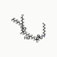 CCCCCCC/C=C\COC(=O)CC(C)(C)CCCCC(O)CCCCC(C)(C)CC(=O)OCC(CCCCC)CCCCCCC